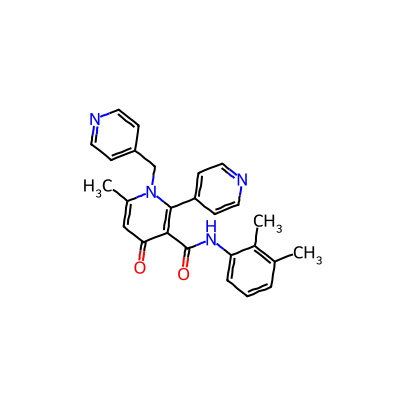 Cc1cccc(NC(=O)c2c(-c3ccncc3)n(Cc3ccncc3)c(C)cc2=O)c1C